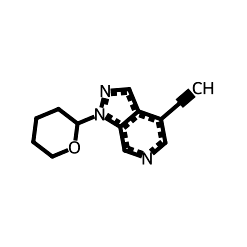 C#Cc1cncc2c1cnn2C1CCCCO1